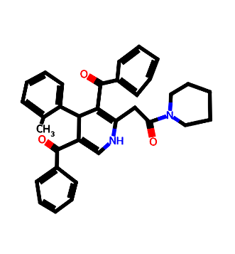 Cc1ccccc1C1C(C(=O)c2ccccc2)=CNC(CC(=O)N2CCCCC2)=C1C(=O)c1ccccc1